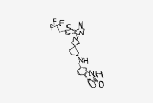 O=c1[nH]c2cc(CN[C@@H]3CCC4(C3)CN(c3ncnc5sc(CC(F)(F)F)cc35)C4)ccc2o1